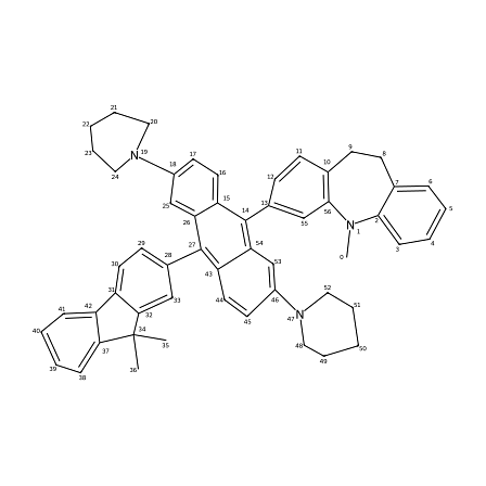 CN1c2ccccc2CCc2ccc(-c3c4ccc(N5CCCCC5)cc4c(-c4ccc5c(c4)C(C)(C)c4ccccc4-5)c4ccc(N5CCCCC5)cc34)cc21